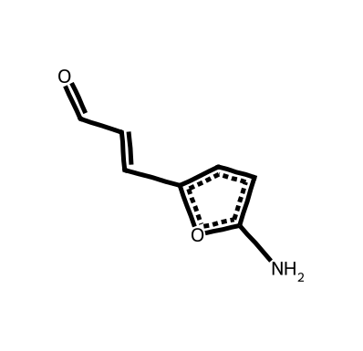 Nc1ccc(/C=C/C=O)o1